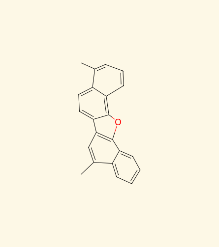 Cc1cccc2c1ccc1c3cc(C)c4ccccc4c3oc21